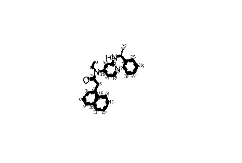 CCN(C(=O)Cc1cccc2ccccc12)c1ccnc(N[C@@H](C)c2ccccc2)c1